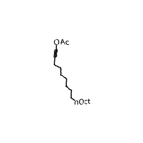 CCCCCCCCCCCCCCCC#COC(C)=O